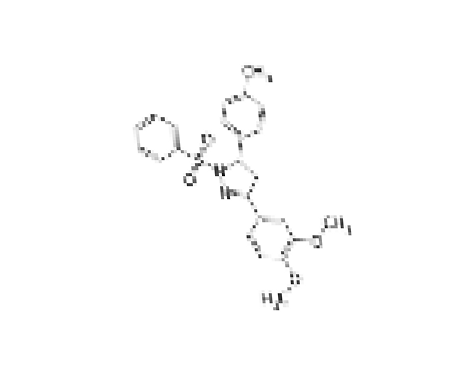 COc1ccc(C2=NN(S(=O)(=O)c3ccccc3)C(c3ccc(C)cc3)C2)cc1OC